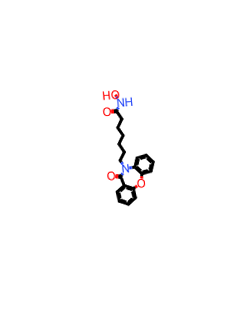 O=C(CCCCCCN1C(=O)c2ccccc2Oc2ccccc21)NO